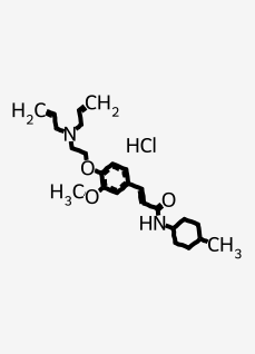 C=CCN(CC=C)CCOc1ccc(C=CC(=O)NC2CCC(C)CC2)cc1OC.Cl